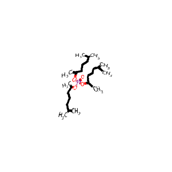 CC(C)CCCC(C)OP(=O)(OC(C)CCCC(C)C)OC(C)CCCC(C)C